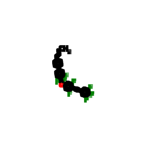 C=CCCc1ccc(-c2ccc(C(F)(F)Oc3cc(F)c(C#Cc4cc(F)c(F)c(F)c4)c(F)c3)c(F)c2)cc1